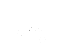 CCCOc1ccc(-c2nc(-c3ccccc3)n(CC)c2C(=O)NC2CCCCc3ccccc32)cc1